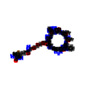 CC(C)C[C@H]1NC(=O)[C@@H](C)NC(=O)[C@@H](Cc2c[nH]cn2)NC(=O)[C@@H](NC(=O)COCCOCCOCCNC(=O)CCCC[C@H]2SC[C@H]3NC(=O)N[C@H]32)Cc2cn(nn2)CCCC[C@@H](C(N)=O)NC(=O)[C@@H](Cc2c[nH]c3ccccc23)NC(=O)[C@@H](CC(C)C)NC1=O